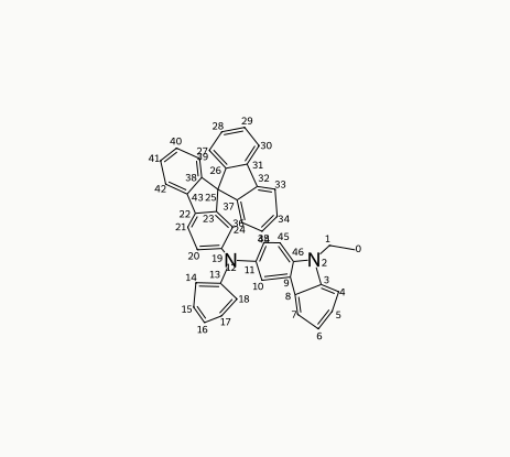 CCn1c2ccccc2c2cc(N(c3ccccc3)c3ccc4c(c3)C3(c5ccccc5-c5ccccc53)c3ccccc3-4)ccc21